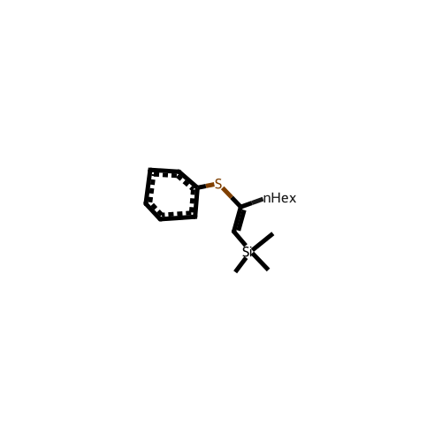 CCCCCCC(=C[Si](C)(C)C)Sc1ccccc1